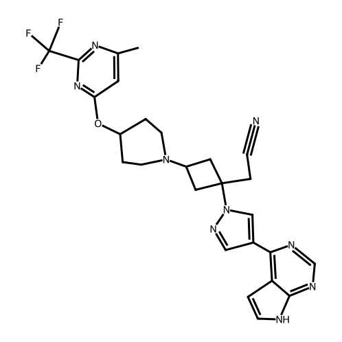 Cc1cc(OC2CCN(C3CC(CC#N)(n4cc(-c5ncnc6[nH]ccc56)cn4)C3)CC2)nc(C(F)(F)F)n1